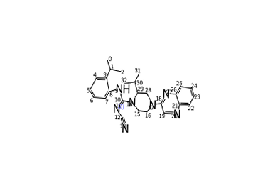 CC(C)c1ccccc1N/C(=N/C#N)N1CCN(c2cnc3ccccc3n2)CC1C(C)C